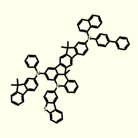 CC1(C)c2ccccc2-c2ccc(N(c3ccccc3)c3cc4c5c(c3)N(c3ccc6sc7ccccc7c6c3)c3ccccc3C5(C)c3cc5c(cc3-4)C(C)(C)c3cc(N(c4ccc(-c6ccccc6)cc4)c4cccc6ccccc46)ccc3-5)cc21